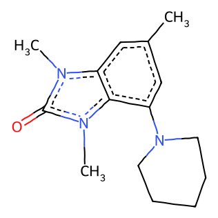 Cc1cc(N2CCCCC2)c2c(c1)n(C)c(=O)n2C